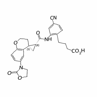 N#Cc1ccc(CCCC(=O)O)c(NC(=O)[C@@H]2C[C@]23CCOc2ccc(N4CCOC4=O)cc23)c1